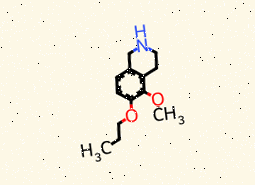 CCCOc1ccc2c(c1OC)CCNC2